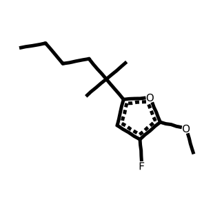 CCCCC(C)(C)c1cc(F)c(OC)o1